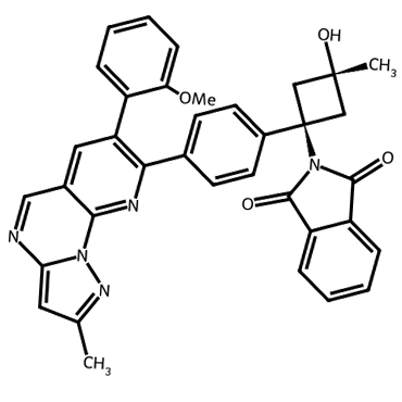 COc1ccccc1-c1cc2cnc3cc(C)nn3c2nc1-c1ccc([C@]2(N3C(=O)c4ccccc4C3=O)C[C@](C)(O)C2)cc1